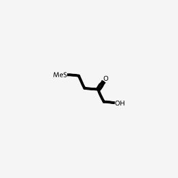 CSCCC(=O)CO